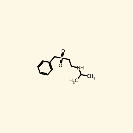 CC(C)NCCS(=O)(=O)Cc1ccccc1